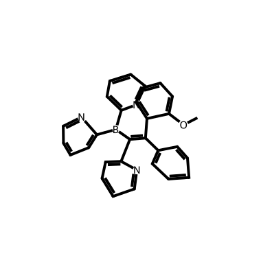 COc1ccccc1/C(=C(\B(c1ccccn1)c1ccccn1)c1ccccn1)c1ccccc1